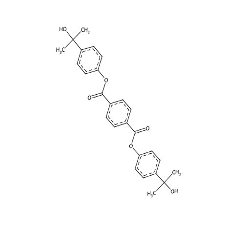 CC(C)(O)c1ccc(OC(=O)c2ccc(C(=O)Oc3ccc(C(C)(C)O)cc3)cc2)cc1